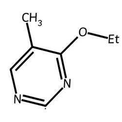 CCOc1n[c]ncc1C